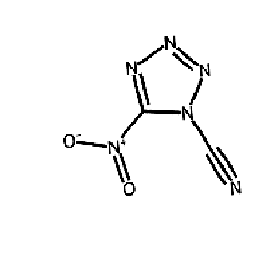 N#Cn1nnnc1[N+](=O)[O-]